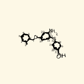 Cc1ccccc1COc1ccc(Sc2ccc(O)cc2)c(N)c1